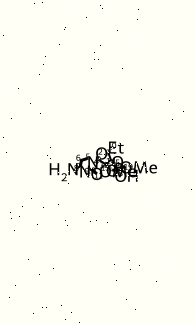 CC[C@H]1O[C@@H](n2ccc(N)nc2=O)[C@@H](OC)C1OP(=O)(O)OC